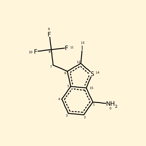 Nc1cccc2c(CC(F)(F)F)c(I)sc12